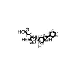 O=C(O)CC[C@H](NC(=O)[C@@H]1Cc2nc(C3CCCSC3)[nH]c2CN1)C(=O)O